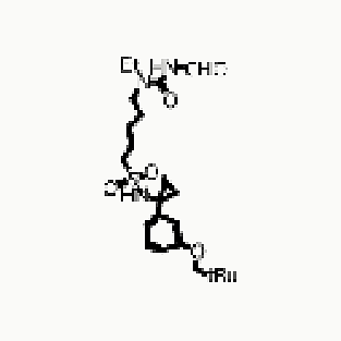 CCN(CCCCCS(=O)(=O)NC1(c2cccc(OCC(C)(C)C)c2)CC1)C(=O)NC=O